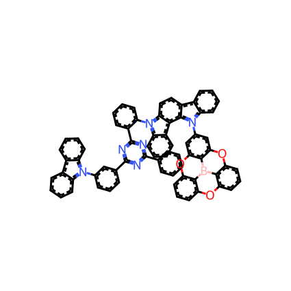 c1ccc(-c2nc(-c3cccc(-n4c5ccccc5c5ccccc54)c3)nc(-c3ccccc3-n3c4ccccc4c4c3ccc3c5ccccc5n(-c5cc6c7c(c5)Oc5cccc8c5B7c5c(cccc5O6)O8)c34)n2)cc1